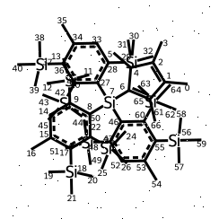 CC1=C(C)C(C)C([Si](c2c([Si](C)(C)C)cc(C)c([Si](C)(C)C)c2[Si](C)(C)C)(c2c([Si](C)(C)C)cc(C)c([Si](C)(C)C)c2[Si](C)(C)C)c2c([Si](C)(C)C)cc(C)c([Si](C)(C)C)c2[Si](C)(C)C)=C1C